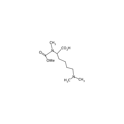 COC(=O)N(C)C(CCCCN(C)C)C(=O)O